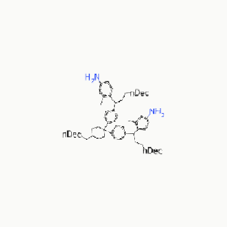 CCCCCCCCCCCCC(c1ccc(C2(c3ccc(C(CCCCCCCCCCCC)c4ccc(N)cc4C)cc3)CCC(CCCCCCCCCCC)CC2)cc1)c1ccc(N)cc1C